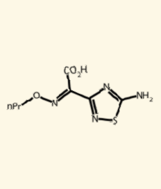 CCCON=C(C(=O)O)c1nsc(N)n1